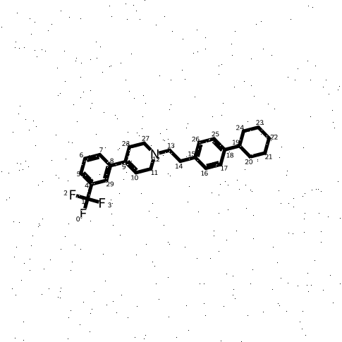 FC(F)(F)c1cccc(C2=CCN(CCc3ccc(C4CCCCC4)cc3)CC2)c1